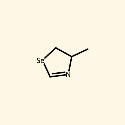 CC1C[Se]C=N1